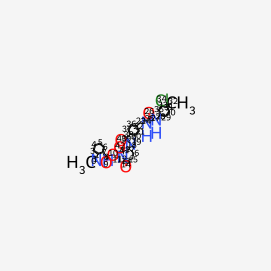 CNc1ccccc1C(=O)OCN1C(=O)CCC(N2Cc3cc(CNC(=O)Nc4ccc(C)c(Cl)c4)ccc3C2=O)C1=O